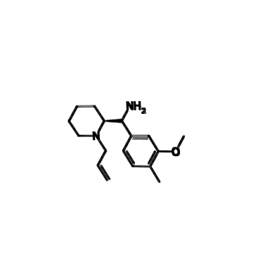 C=CCN1CCCC[C@H]1C(N)c1ccc(C)c(OC)c1